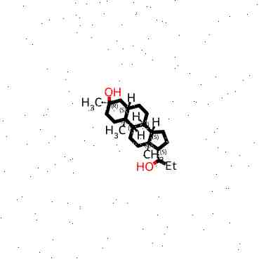 CCC(O)[C@H]1CC[C@H]2[C@@H]3CC[C@H]4C[C@](C)(O)CC[C@]4(C)[C@H]3CC[C@]12C